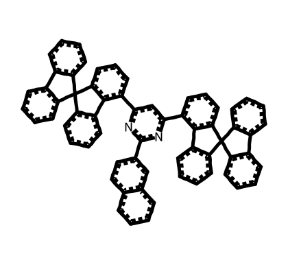 c1ccc2c(c1)-c1ccccc1C21c2ccccc2-c2c(-c3cc(-c4cccc5c4-c4ccccc4C54c5ccccc5-c5ccccc54)nc(-c4ccc5ccccc5c4)n3)cccc21